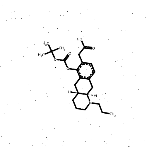 CCCN1CCC[C@@H]2Cc3c(ccc(CC(=O)O)c3OC(=O)OC(C)(C)C)C[C@H]21